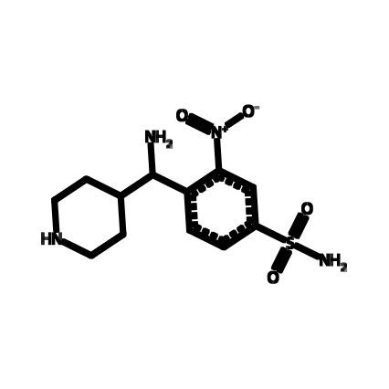 NC(c1ccc(S(N)(=O)=O)cc1[N+](=O)[O-])C1CCNCC1